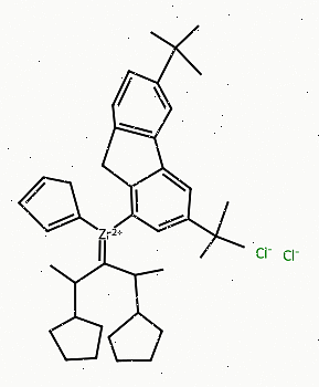 CC([C](C(C)C1CCCC1)=[Zr+2]([C]1=CC=CC1)[c]1cc(C(C)(C)C)cc2c1Cc1ccc(C(C)(C)C)cc1-2)C1CCCC1.[Cl-].[Cl-]